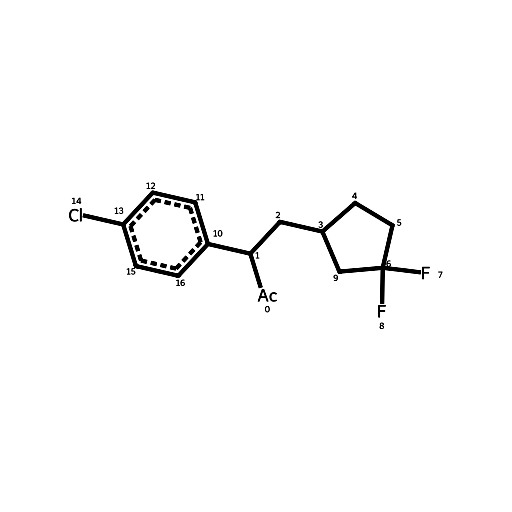 CC(=O)C(CC1CCC(F)(F)C1)c1ccc(Cl)cc1